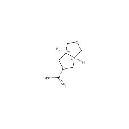 CC(C)C(=O)N1C[C@H]2COC[C@H]2C1